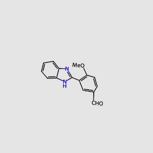 COc1ccc(C=O)cc1-c1nc2ccccc2[nH]1